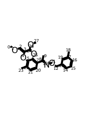 CO/C=C(\Oc1cc(/C(C)=N/OCc2cccc(C)c2)ccc1C)C(=O)OC